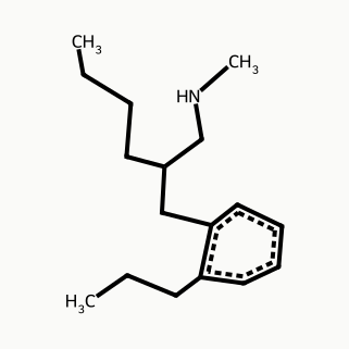 CCCCC(CNC)Cc1ccccc1CCC